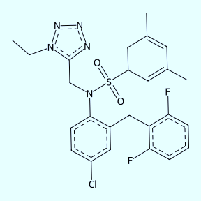 CCn1nnnc1CN(c1ccc(Cl)cc1Cc1c(F)cccc1F)S(=O)(=O)C1C=C(C)C=C(C)C1